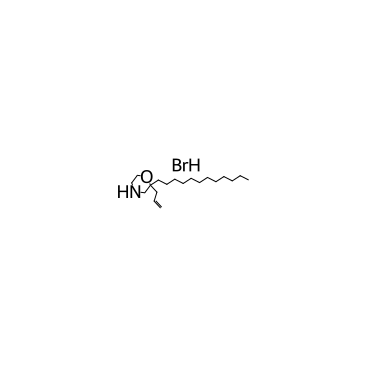 Br.C=CCC1(CCCCCCCCCCCC)CNCCO1